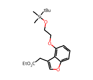 CCOC(=O)Cc1coc2cccc(OCCO[Si](C)(C)C(C)(C)C)c12